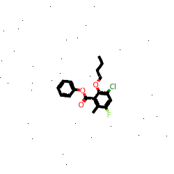 CCCCOc1c(Cl)cc(F)c(C)c1C(=O)Oc1ccccc1